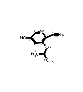 CC(C)Oc1cc(O)cnc1C#N